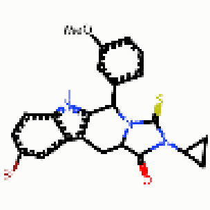 COc1cccc(C2c3[nH]c4ccc(Br)cc4c3CC3C(=O)N(C4CC4)C(=S)N32)c1